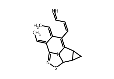 C/C=C1/C(/C=C\C=N)=C2C3CC3C3SN=C(/C1=C/C)N23